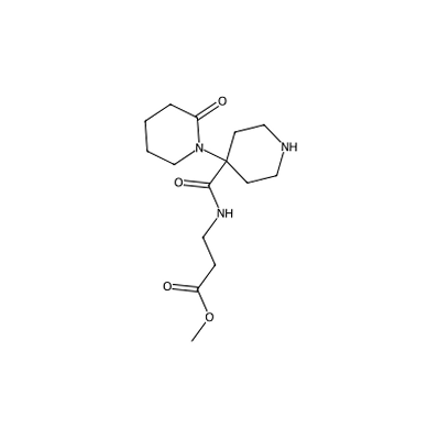 COC(=O)CCNC(=O)C1(N2CCCCC2=O)CCNCC1